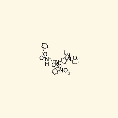 O=C(NCCCN(c1ccc2c(c1)c(I)nn2C1CCCCO1)S(=O)(=O)c1ccccc1[N+](=O)[O-])OCc1ccccc1